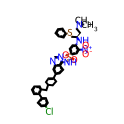 CN(C)CC[C@H](CSc1ccccc1)Nc1ccc(S(=O)(=O)Nc2ncnc3cc(C4=CCC(Cc5ccccc5-c5ccc(Cl)cc5)CC4)ccc23)cc1[N+](=O)[O-]